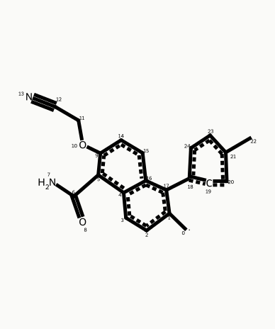 [CH2]c1ccc2c(C(N)=O)c(OCC#N)ccc2c1-c1ccc(C)cc1